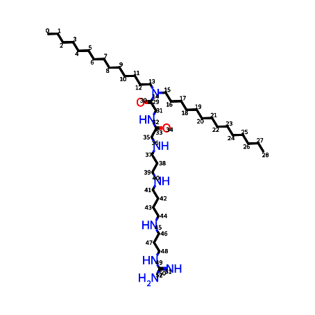 CCCCCCCCCCCCCCN(CCCCCCCCCCCCCC)C(=O)CNC(=O)CNCCCNCCCCNCCCNC(=N)N